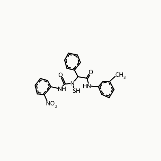 Cc1cccc(NC(=O)C(c2ccccc2)N(S)C(=O)Nc2ccccc2[N+](=O)[O-])c1